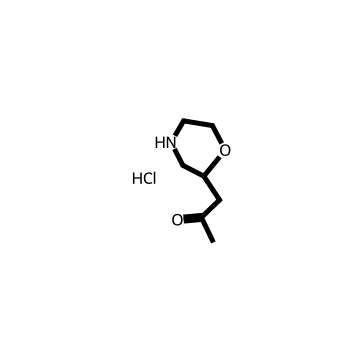 CC(=O)CC1CNCCO1.Cl